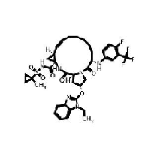 CCn1c(O[C@@H]2C[C@H]3C(=O)N[C@]4(C(=O)NS(=O)(=O)C5(C)CC5)C[C@H]4/C=C\CCCCC[C@H](Nc4ccc(F)c(C(F)(F)F)c4)C(=O)N3C2)nc2ccccc21